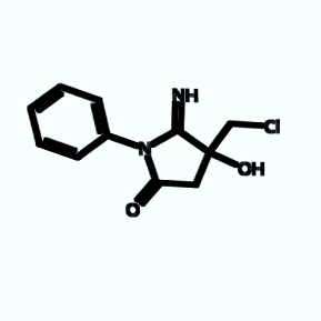 N=C1N(c2ccccc2)C(=O)CC1(O)CCl